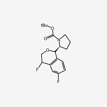 CC(C)(C)OC(=O)N1CCC[C@H]1C1OCC(F)c2cc(F)ccc21